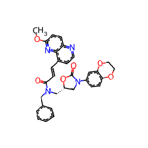 COc1ccc2nccc(/C=C/C(=O)N(Cc3ccccc3)C[C@H]3CN(c4ccc5c(c4)OCCO5)C(=O)O3)c2n1